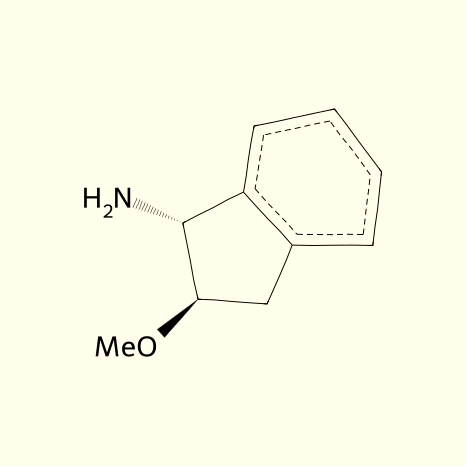 CO[C@@H]1Cc2ccccc2[C@H]1N